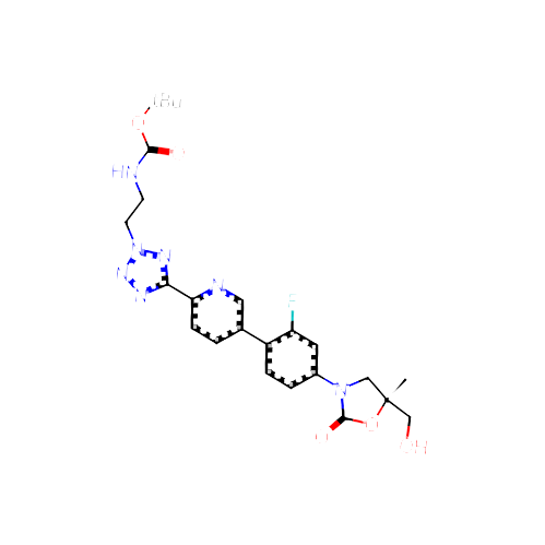 CC(C)(C)OC(=O)NCCn1nnc(-c2ccc(-c3ccc(N4C[C@](C)(CO)OC4=O)cc3F)cn2)n1